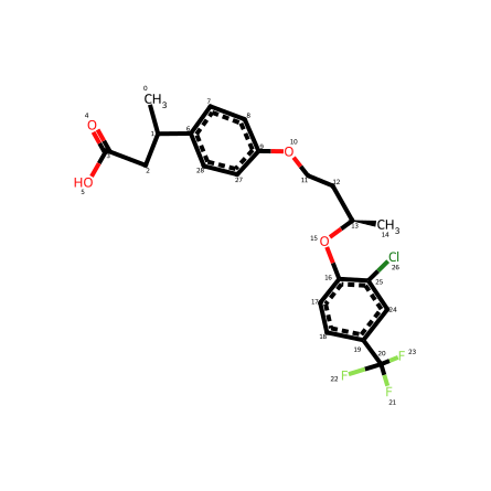 CC(CC(=O)O)c1ccc(OCC[C@@H](C)Oc2ccc(C(F)(F)F)cc2Cl)cc1